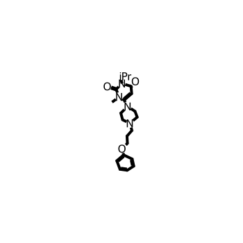 CC(C)n1c(=O)cc(N2CCN(CCCOc3ccccc3)CC2)n(C)c1=O